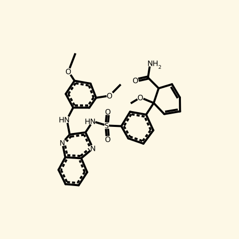 COc1cc(Nc2nc3ccccc3nc2NS(=O)(=O)c2cccc(C3(OC)C=CC=CC3C(N)=O)c2)cc(OC)c1